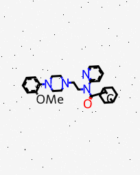 COc1ccccc1N1CCN(CCN(C(=O)C2CC3CCC2CC3)c2ccccn2)CC1